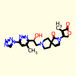 CC1=C(N2C=CC3(CCN(C[C@H](O)c4nnc(-n5cnnn5)cc4C)CC3)C2=O)COC1=O